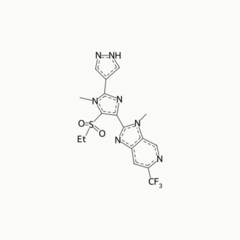 CCS(=O)(=O)c1c(-c2nc3cc(C(F)(F)F)ncc3n2C)nc(-c2cn[nH]c2)n1C